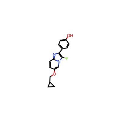 Oc1ccc(-c2nc3ccc(OCC4CC4)cn3c2F)cc1